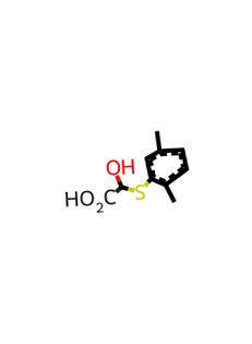 Cc1ccc(C)c(SC(O)C(=O)O)c1